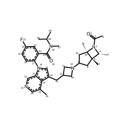 CC(=O)N1[C@H](C)[C@]2(C)CC(N3CC(Cc4cn(-c5ccc(F)cc5C(=O)N(C)C(C)C)c5cncc(C)c45)C3)C[C@@]12C